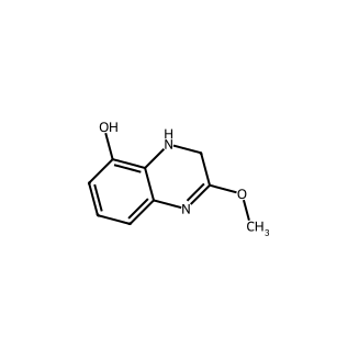 COC1=Nc2cccc(O)c2NC1